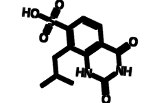 CC(C)Cc1c(S(=O)(=O)O)ccc2c(=O)[nH]c(=O)[nH]c12